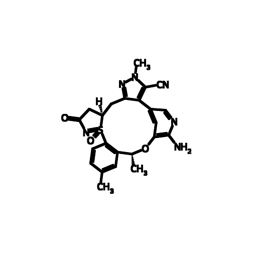 Cc1ccc2c(c1)[C@@H](C)Oc1cc(cnc1N)-c1c(nn(C)c1C#N)C[C@@H]1CC(=O)N=S21=O